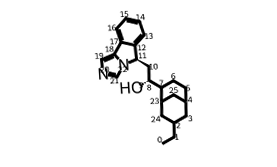 CCC1CC2CCC([C@H](O)C[C@@H]3c4ccccc4-c4cncn43)C(C1)C2